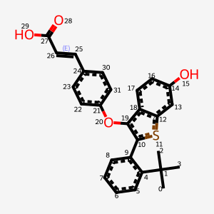 CC(C)(C)c1ccccc1-c1sc2cc(O)ccc2c1Oc1ccc(/C=C/C(=O)O)cc1